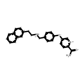 NC(=O)c1ccc(Oc2ccc(CNCCc3ccc4ccccc4c3)cc2)cn1